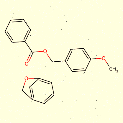 COc1ccc(COC(=O)c2ccccc2)cc1.c1cc2cc(c1)OC2